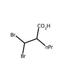 CCCC(C(=O)O)C(Br)Br